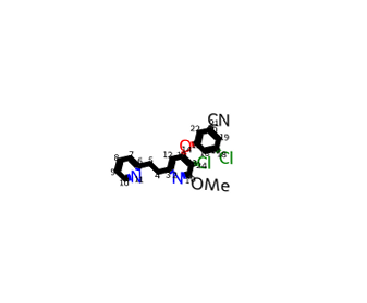 COc1nc(CCc2ccccn2)cc(Oc2cc(Cl)cc(C#N)c2)c1Cl